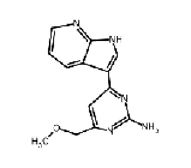 COCc1cc(-c2c[nH]c3ncccc23)nc(N)n1